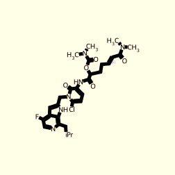 CC(C)Cc1ncc(F)c2cc(Cn3c(Cl)ccc(NC(=O)C(CC/C=C/C(=O)N(C)C)OC(=O)N(C)C)c3=O)[nH]c12